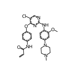 C=CC(=O)Nc1ccc(Oc2nc(Nc3ccc(N4CCN(C)CC4)cc3OC)ncc2Cl)cc1